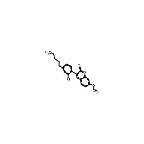 CCCCCc1ccc(-c2cc3ccc(OC)cc3oc2=O)c(Cl)c1